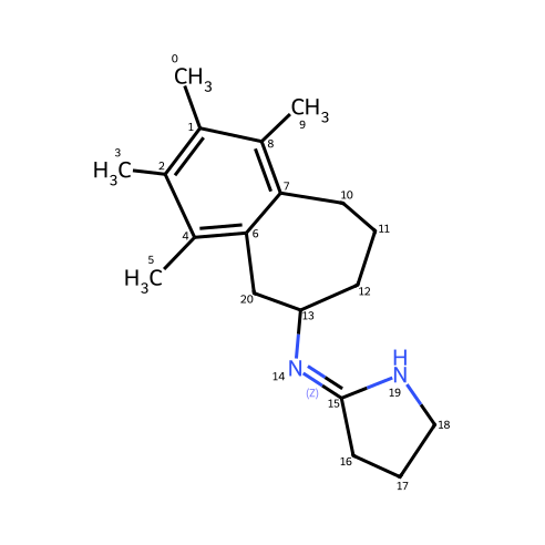 Cc1c(C)c(C)c2c(c1C)CCCC(/N=C1/CCCN1)C2